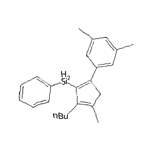 CCCCC1=C(C)CC(c2cc(C)cc(C)c2)=C1[SiH2]c1ccccc1